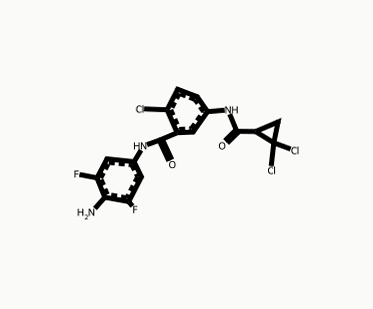 Nc1c(F)cc(NC(=O)c2cc(NC(=O)C3CC3(Cl)Cl)ccc2Cl)cc1F